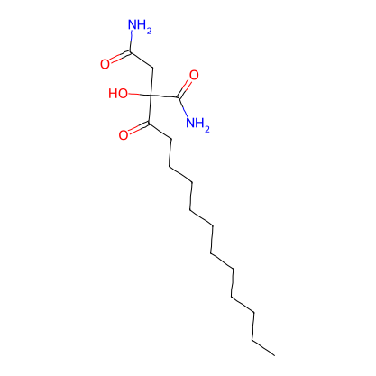 CCCCCCCCCCCC(=O)C(O)(CC(N)=O)C(N)=O